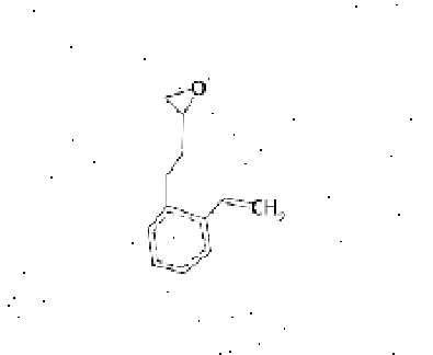 C=Cc1ccccc1CCC1CO1